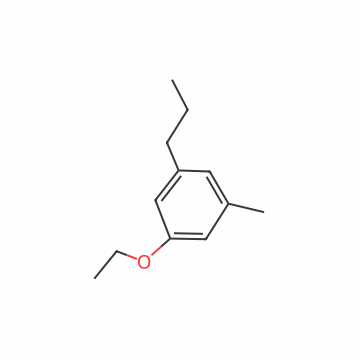 CCCc1cc(C)cc(OCC)c1